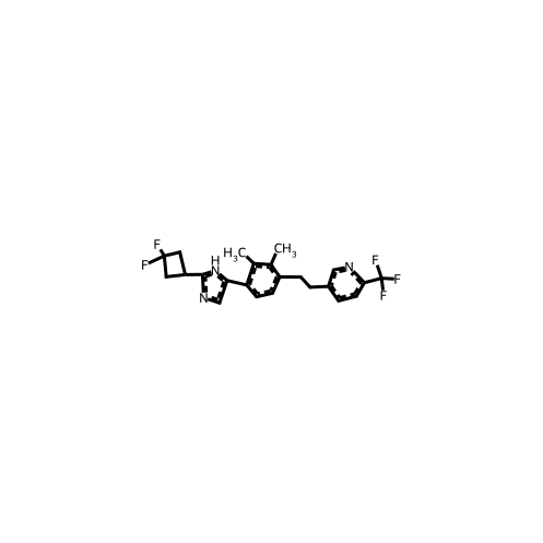 Cc1c(CCc2ccc(C(F)(F)F)nc2)ccc(-c2cnc(C3CC(F)(F)C3)[nH]2)c1C